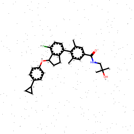 Cc1cc(C(=O)NCC(C)(C)O)cc(C)c1-c1ccc(F)c2c1CCC2Oc1ccc(C2CC2)cc1